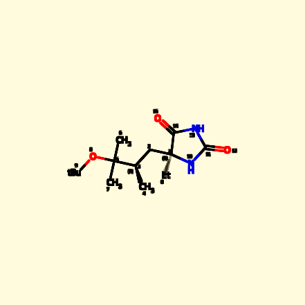 CC[C@@]1(C[C@@H](C)C(C)(C)OC(C)(C)C)NC(=O)NC1=O